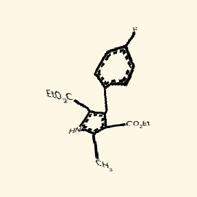 CCOC(=O)c1[nH]c(C)c(C(=O)OCC)c1-c1ccc(F)cc1